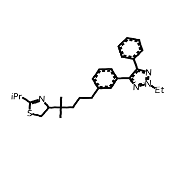 CCn1nc(-c2ccccc2)c(-c2cccc(CCCC(C)(C)C3CSC(C(C)C)=N3)c2)n1